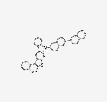 c1ccc2cc(-c3ccc4cc(-n5c6ccccc6c6cc7c(cc65)sc5ccc6ccccc6c57)ccc4c3)ccc2c1